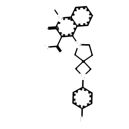 Cn1c(=O)c(C(N)=O)c(N2CCC3(CN(c4ccc(F)cc4)C3)C2)c2ccccc21